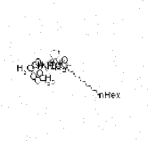 CCCCCCC=CCC=CCCCCCCCNC(=O)NC1CCCCCC1C(CNC(=O)C1OC(C)(C)OCC1(C)C)C(=O)O